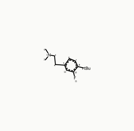 CN(C)CCc1ccc(C(C)(C)C)c(F)c1